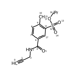 C#CCNC(=O)c1ccc(C)c(S(=O)(=O)OC(C)C)c1